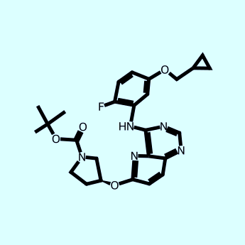 CC(C)(C)OC(=O)N1CC[C@H](Oc2ccc3ncnc(Nc4cc(OCC5CC5)ccc4F)c3n2)C1